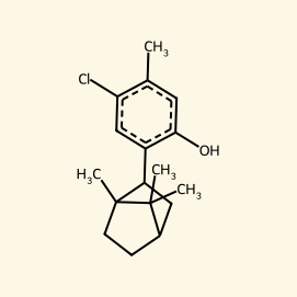 Cc1cc(O)c(C2CC3CCC2(C)C3(C)C)cc1Cl